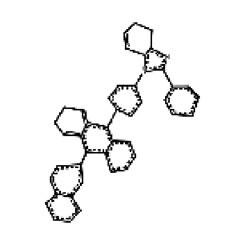 C1=Cc2c(nc(-c3ccccc3)n2-c2ccc(-c3c4c(c(-c5ccc6ccccc6c5)c5ccccc35)=CCCC=4)cc2)CC1